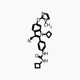 Cn1ccnc1Oc1ccc2c(C#N)c(-c3ccc(NC(=O)NC4CCC4)cc3)n(C3CCC3)c2c1